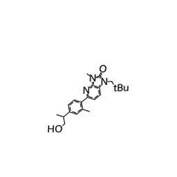 Cc1cc(C(C)CO)ccc1-c1ccc2c(n1)n(C)c(=O)n2CC(C)(C)C